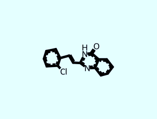 O=c1[nH]c(/C=C/c2ccccc2Cl)nc2ccccc12